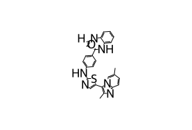 Cc1ccc2nc(C)c(-c3cnc(Nc4ccc(C(=O)Nc5ccccc5N)cc4)s3)n2c1